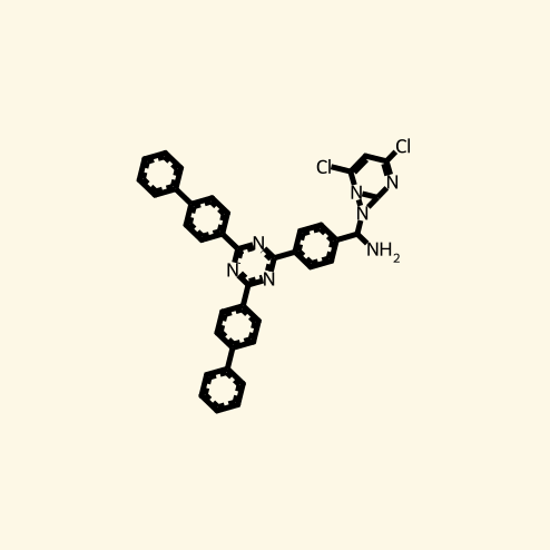 NC(c1ccc(-c2nc(-c3ccc(-c4ccccc4)cc3)nc(-c3ccc(-c4ccccc4)cc3)n2)cc1)N1C2N=C(Cl)C=C(Cl)N21